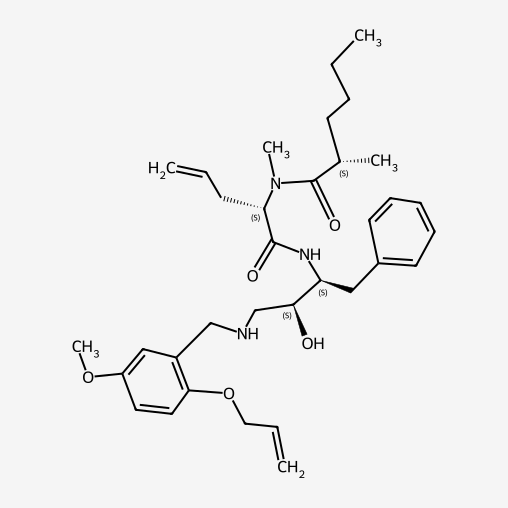 C=CCOc1ccc(OC)cc1CNC[C@H](O)[C@H](Cc1ccccc1)NC(=O)[C@H](CC=C)N(C)C(=O)[C@@H](C)CCCC